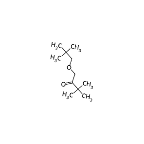 CC(C)(C)COCC(=O)C(C)(C)C